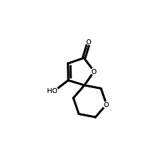 O=C1C=C(O)C2(CCCOC2)O1